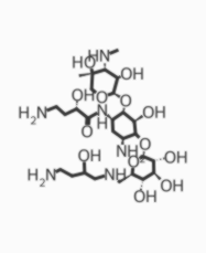 CN[C@@H]1[C@@H](O)[C@@H](O[C@H]2[C@H](NC(=O)[C@@H](O)CCN)C[C@H](N)C(O[C@H]3O[C@H](CNCC(O)CCN)[C@@H](O)[C@H](O)[C@H]3O)[C@@H]2O)OC[C@]1(C)O